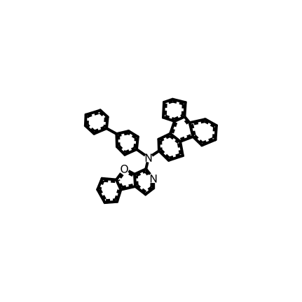 c1ccc(-c2ccc(N(c3ccc4c5ccccc5c5ccccc5c4c3)c3nccc4c3oc3ccccc34)cc2)cc1